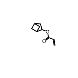 C=CC(=O)OC1CC2CC1C2